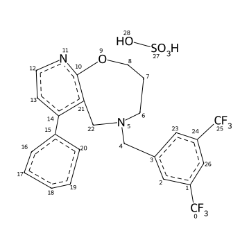 FC(F)(F)c1cc(CN2CCCOc3nccc(-c4ccccc4)c3C2)cc(C(F)(F)F)c1.O=S(=O)(O)O